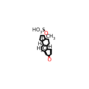 C[C@]12CC[C@H]3[C@@H](CCC4=CC(=O)C=C[C@@]43C)[C@@H]1CC[C@@H]2OS(=O)(=O)O